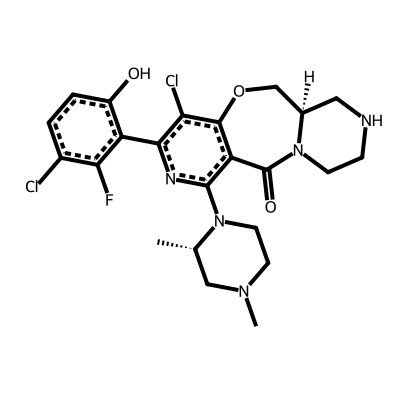 C[C@H]1CN(C)CCN1c1nc(-c2c(O)ccc(Cl)c2F)c(Cl)c2c1C(=O)N1CCNC[C@@H]1CO2